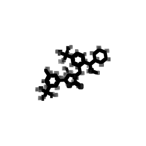 COC(c1ccc(C(F)(F)F)cc1CN1C(=O)OC(c2cc(C)cc(C(F)(F)F)c2)[C@@H]1C)C1CCCCC1